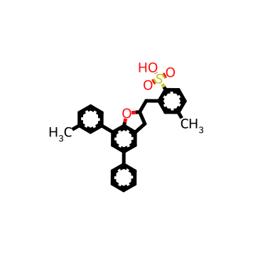 Cc1cccc(-c2cc(-c3ccccc3)cc3c2OC(Cc2cc(C)ccc2S(=O)(=O)O)C3)c1